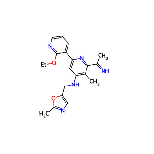 CCOc1ncccc1-c1cc(NCc2cnc(C)o2)c(C)c(C(C)=N)n1